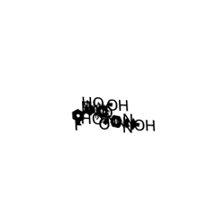 O=C([C@@H]1O[C@H](CO)[C@H](O)[C@H](n2cc(-c3cccc(F)c3)nn2)[C@H]1O)N1CCN(c2ncc(O)cn2)CC1